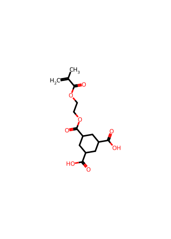 C=C(C)C(=O)OCCOC(=O)C1CC(C(=O)O)CC(C(=O)O)C1